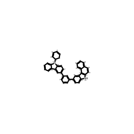 C1=CCC(n2c3ccccc3c3cc(-c4cccc(-c5ccc6[nH]c7ccc8ccccc8c7c6c5)c4)ccc32)C=C1